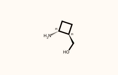 N[C@@H]1CC[C@H]1CO